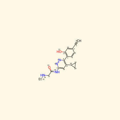 C#Cc1ccc(-c2nnc(NC(=O)CNCC)cc2C2CC2)c(O)c1